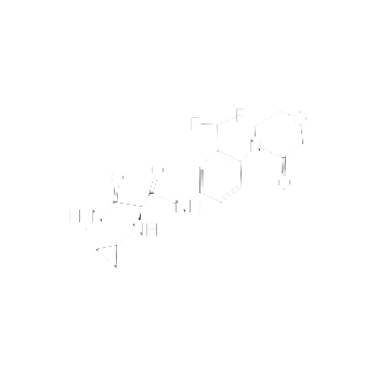 NC(=O)[C@H](NC1CC1)C(=O)Nc1ccc(N2CCOCC2=O)c(C(F)F)c1